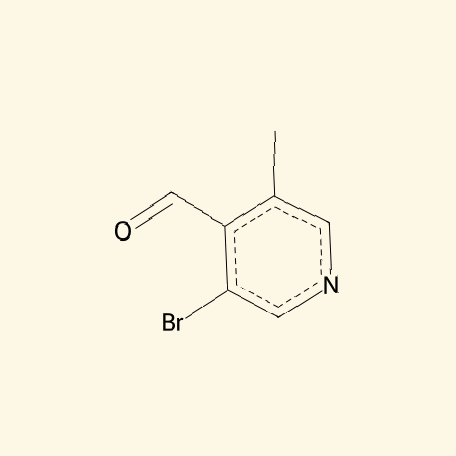 Cc1cncc(Br)c1C=O